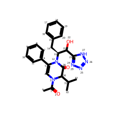 CC(=O)N1C=C(c2ccccc2)N([C@@H](Cc2ccccc2)C(O)c2nnn[nH]2)C(=O)C1C(C)C